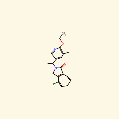 Cc1cc(C(C)N2CC3=C(C=CCC=C3Cl)C2=O)cnc1OCC(F)(F)F